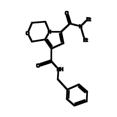 CCN(CC)C(=O)c1cc(C(=O)NCc2ccccc2)c2n1CCOC2